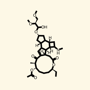 CC[C@H]1CCC[C@H](OC(C)=O)[C@@H](C)C(=O)C2=CC3[C@@H]4C[C@H](OC(O)[C@H](COC)OC)CC4[C@@H]4CC(NC)[C@@H]4[C@H]3[C@@H]2CC(=O)O1